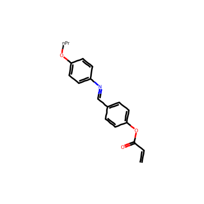 C=CC(=O)Oc1ccc(C=Nc2ccc(OCCC)cc2)cc1